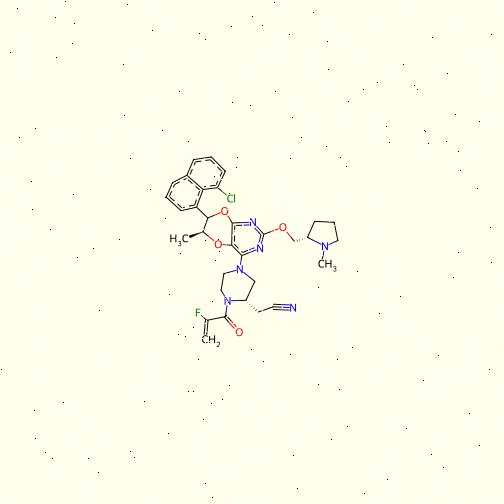 C=C(F)C(=O)N1CCN(c2nc(OC[C@@H]3CCCN3C)nc3c2O[C@@H](C)C(c2cccc4cccc(Cl)c24)O3)C[C@@H]1CC#N